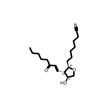 CCCCCC(=O)C=C[C@H]1[C@H](O)CO[C@@H]1CCCCCCC#N